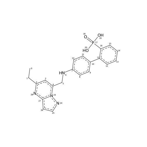 CCc1cc(CNc2ccc(-c3ccccc3P(=O)(O)O)cc2)n2nccc2n1